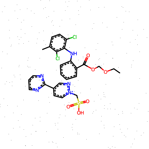 CCOCOC(=O)c1ccccc1Nc1c(Cl)ccc(C)c1Cl.O=S(=O)(O)C[n+]1ccc(-c2ncccn2)cn1